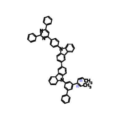 C/C=C\C(=C/C)c1cc(-c2ccccc2)cc(N2c3ccc(-c4ccc5c(c4)c4ccccc4n5-c4ccc(-c5cc(-c6ccccc6)nc(-c6ccccc6)n5)cc4)cc3C3C=CC=CC32)c1